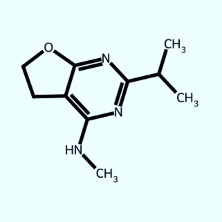 CNc1nc(C(C)C)nc2c1CCO2